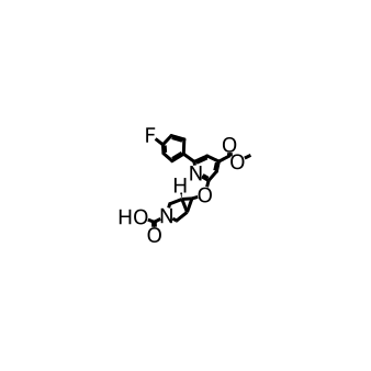 COC(=O)c1cc(OC2C3CN(C(=O)O)C[C@H]32)nc(-c2ccc(F)cc2)c1